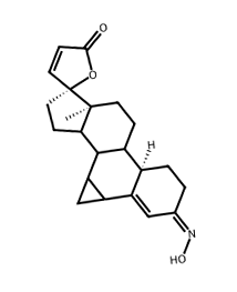 C[C@]12CCC3C(C4CC4C4=CC(=NO)CC[C@@H]43)C1CC[C@@]21C=CC(=O)O1